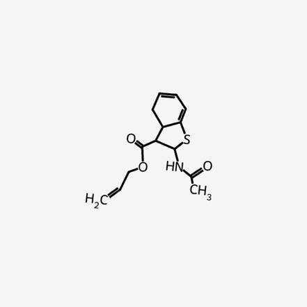 C=CCOC(=O)C1C(NC(C)=O)SC2=CC=CCC21